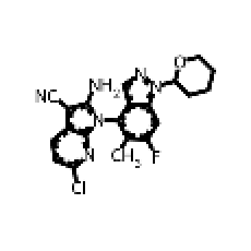 Cc1c(F)cc2c(cnn2C2CCCCO2)c1-n1c(N)c(C#N)c2ccc(Cl)nc21